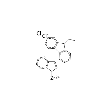 CCC1c2ccccc2-c2ccccc21.[Cl-].[Cl-].[Zr+2][CH]1C=Cc2ccccc21